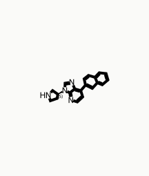 c1ccc2cc(-c3ccnc4c3ncn4[C@H]3CCNC3)ccc2c1